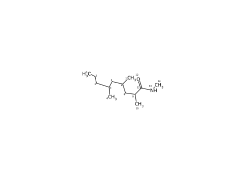 CCCC(C)CC(C)CC(C)C(=O)NC